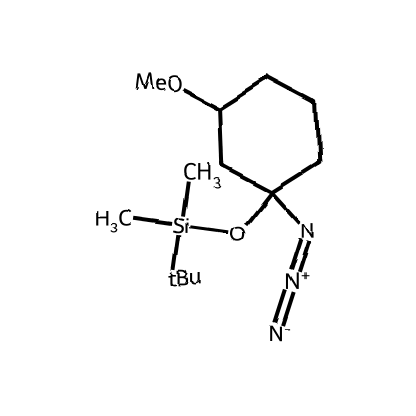 COC1CCCC(N=[N+]=[N-])(O[Si](C)(C)C(C)(C)C)C1